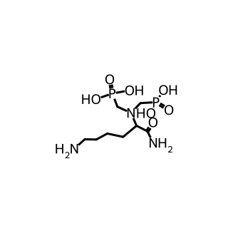 NCCCCC(C(N)=O)N(CP(=O)(O)O)CP(=O)(O)O